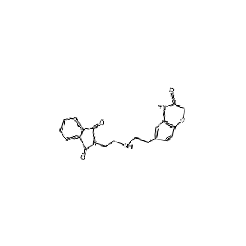 O=C1COc2ccc(CCNCCN3C(=O)c4ccccc4C3=O)cc2N1